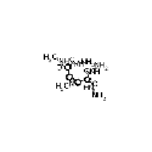 CCCNC(=O)c1cc(C(=O)NCCN)cc(-c2ccc3c(c2)c2cc(-c4cc(C(=O)NCCN)cc(C(=O)NCCN)c4)ccc2n3CC)c1